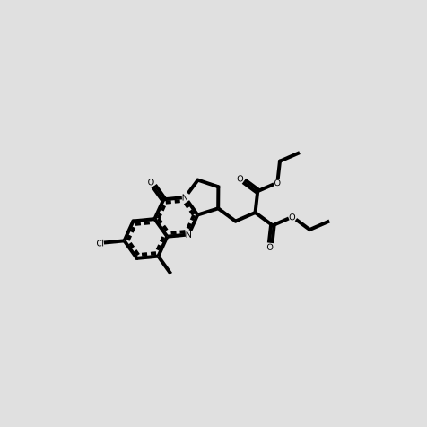 CCOC(=O)C(CC1CCn2c1nc1c(C)cc(Cl)cc1c2=O)C(=O)OCC